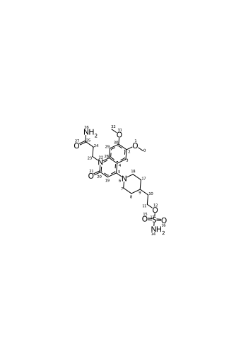 COc1cc2c(N3CCC(CCOS(N)(=O)=O)CC3)cc(=O)n(CCC(N)=O)c2cc1OC